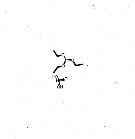 CCOP(OCC)OCC.O=[PH](O)O